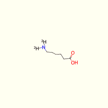 [2H]N([2H])CCCCCC(=O)O